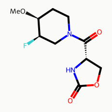 CO[C@H]1CCN(C(=O)[C@@H]2COC(=O)N2)C[C@H]1F